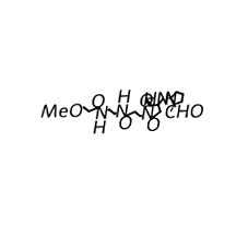 COCCC(=O)NCCNC(=O)CCN1C(=O)CC(NN2CCC[C@H]2C=O)C1=O